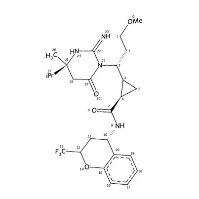 COCC[C@H](C1C[C@H]1C(=O)N[C@H]1CC(C(F)(F)F)Oc2ccccc21)N1C(=N)N[C@](C)(C(C)C)CC1=O